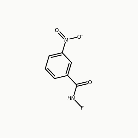 O=C(NF)c1cccc([N+](=O)[O-])c1